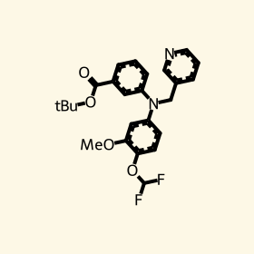 COc1cc(N(Cc2cccnc2)c2cccc(C(=O)OC(C)(C)C)c2)ccc1OC(F)F